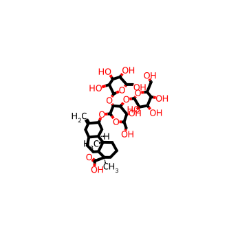 C=C1CC2CCC3[C@](C)(C(=O)O)CCC[C@@]3(C)[C@@H]2CC1OC1OC(CO)C(O)C(OC2OC(CO)C(O)C(O)C2O)C1OC1OC(CO)C(O)C(O)C1O